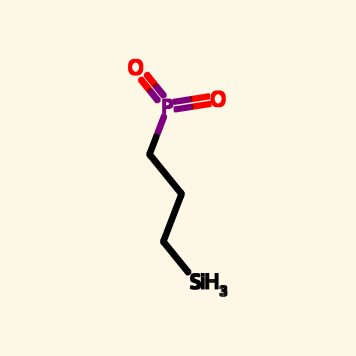 O=P(=O)CCC[SiH3]